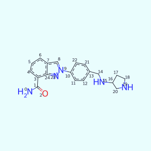 NC(=O)c1cccc2cn(-c3ccc(CNC4CCNC4)cc3)nc12